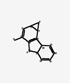 CC1=CC2CC2C2=C1SC1C=CC=CC21